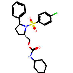 O=C(NC1CCCCC1)OC[C@H]1CCC(c2ccccc2)N1S(=O)(=O)c1ccc(Cl)cc1